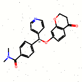 CN(C)C(=O)c1ccc([C@H](Oc2ccc3c(c2)OCCC3=O)c2ccncc2)cc1